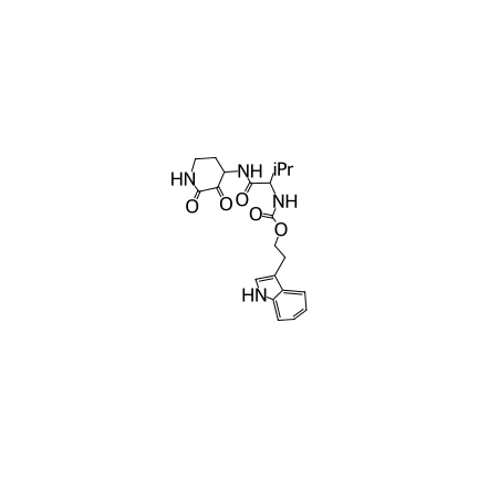 CC(C)C(NC(=O)OCCc1c[nH]c2ccccc12)C(=O)NC1CCNC(=O)C1=O